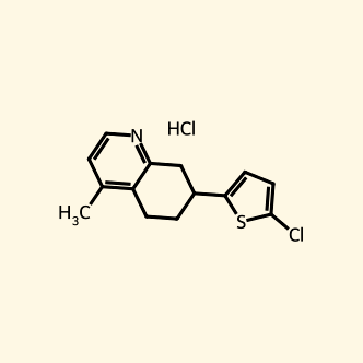 Cc1ccnc2c1CCC(c1ccc(Cl)s1)C2.Cl